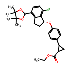 CCOC(=O)[C@@H]1CC1c1ccc(O[C@@H]2CCc3c(B4OC(C)(C)C(C)(C)O4)ccc(F)c32)cc1